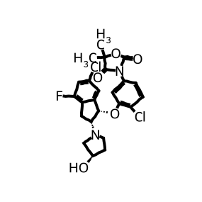 CC1(C)OC(=O)N(c2ccc(Cl)c(O[C@H]3c4cc(Cl)cc(F)c4C[C@H]3N3CC[C@@H](O)C3)c2)C1=O